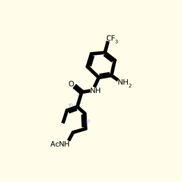 C/C=C(\C=C/CNC(C)=O)C(=O)Nc1ccc(C(F)(F)F)cc1N